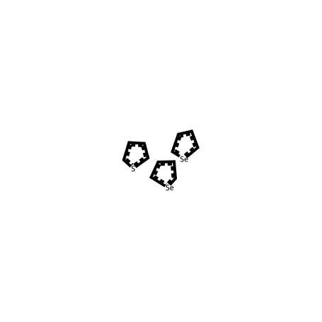 c1cc[se]c1.c1cc[se]c1.c1ccsc1